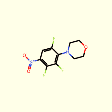 O=[N+]([O-])c1cc(F)c(N2CCOCC2)c(F)c1F